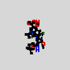 COC1CN(c2c(F)cc3c(=O)c(C(=O)O)cn(C4CC4)c3c2F)CC1NC(=O)OC(C)(C)C